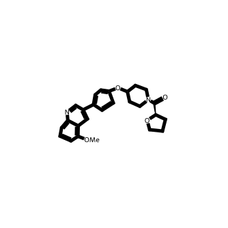 COc1cccc2ncc(-c3ccc(OC4CCN(C(=O)[C@H]5CCCO5)CC4)cc3)cc12